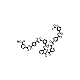 O=C(O)c1cccc(C(=O)OC(=O)c2ccc(C(=O)OC(=O)c3cccc(C(=O)OC(=O)c4ccccc4C(=O)OC(=O)c4cccc(C(=O)OC(=O)c5ccc(C(=O)OC(=O)c6cccc(C(=O)O)c6)cc5)c4)c3)cc2)c1